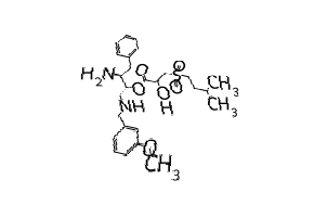 COc1cccc(CNC[C@@H](OC(=O)C(O)CS(=O)(=O)CCC(C)C)[C@@H](N)Cc2ccccc2)c1